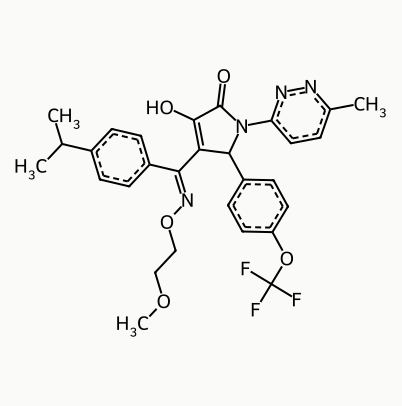 COCCON=C(C1=C(O)C(=O)N(c2ccc(C)nn2)C1c1ccc(OC(F)(F)F)cc1)c1ccc(C(C)C)cc1